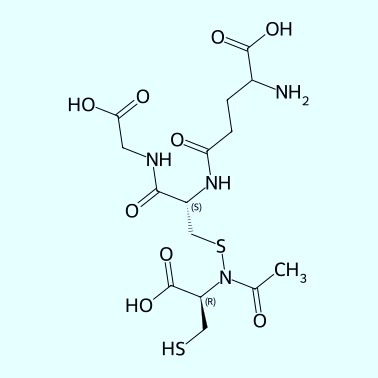 CC(=O)N(SC[C@@H](NC(=O)CCC(N)C(=O)O)C(=O)NCC(=O)O)[C@@H](CS)C(=O)O